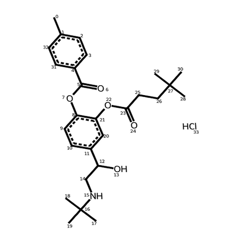 Cc1ccc(C(=O)Oc2ccc(C(O)CNC(C)(C)C)cc2OC(=O)CCC(C)(C)C)cc1.Cl